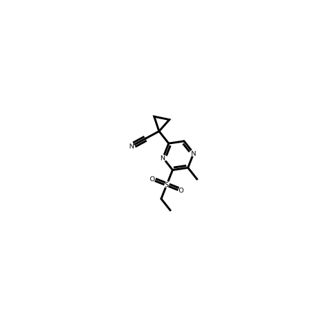 CCS(=O)(=O)c1nc(C2(C#N)CC2)cnc1C